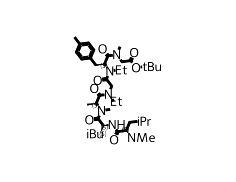 CC[C@H](C)[C@H](NC(=O)[C@H](CC(C)C)NC)C(=O)N(C)[C@@H](C)C(=O)N(CC)CC(=O)N(CC)[C@@H](Cc1ccc(C)cc1)C(=O)N(C)CC(=O)OC(C)(C)C